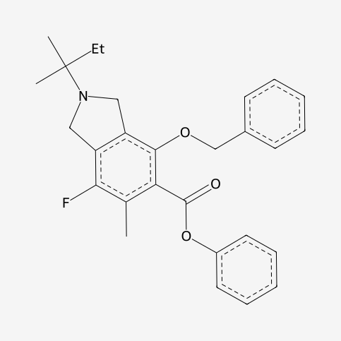 CCC(C)(C)N1Cc2c(F)c(C)c(C(=O)Oc3ccccc3)c(OCc3ccccc3)c2C1